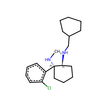 CN[C@@]1(c2ccccc2Cl)CCCC[C@@H]1NCC1CCCCC1